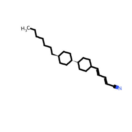 CCCCCCC[C@H]1CC[C@H](C2CCC(C=CC=CC#N)CC2)CC1